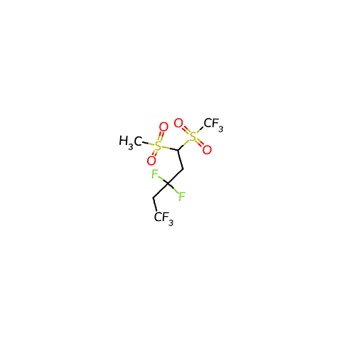 CS(=O)(=O)C(CC(F)(F)CC(F)(F)F)S(=O)(=O)C(F)(F)F